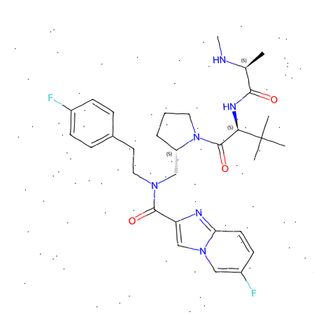 CN[C@@H](C)C(=O)N[C@H](C(=O)N1CCC[C@H]1CN(CCc1ccc(F)cc1)C(=O)c1cn2cc(F)ccc2n1)C(C)(C)C